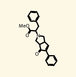 COC(=O)C(Cc1ccccc1)N1CC2C=C(c3ccccc3)C(=O)C2C1